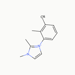 Cc1c(C#N)cccc1-[n+]1ccn(C)c1C